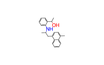 Cc1ccc(CC(C)Nc2ccccc2C(C)O)c2ccccc12